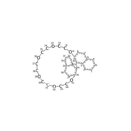 c1ccc2c3c(ccc2c1)OCCOCCOCCOCCOCCOc1ccc2ccccc2c1-3